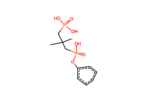 [CH2]C([CH2])(CP(=O)(O)O)CP(=O)(O)Oc1ccccc1